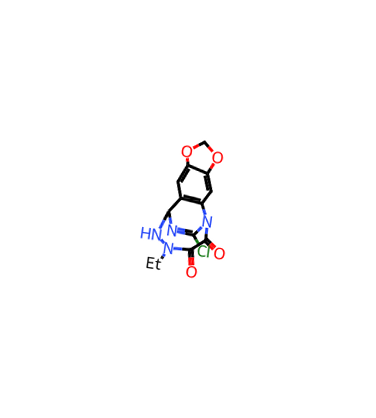 CCN1NC2N=C(Cl)N(C(=O)C1=O)c1cc3c(cc12)OCO3